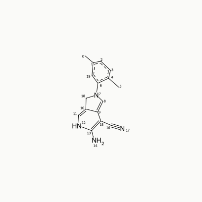 Cc1ccc(C)c(N2C=C3C(=CNC(N)=C3C#N)C2)c1